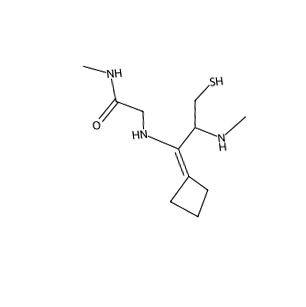 CNC(=O)CNC(=C1CCC1)C(CS)NC